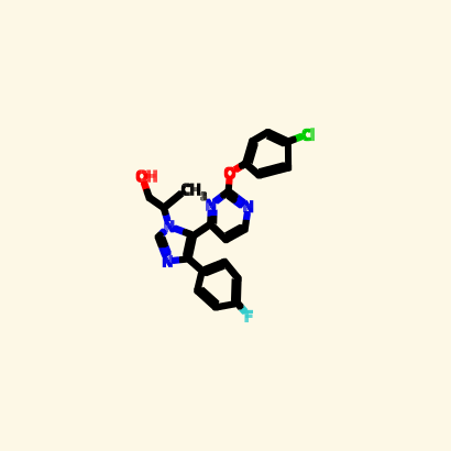 CC(CO)n1cnc(-c2ccc(F)cc2)c1-c1ccnc(Oc2ccc(Cl)cc2)n1